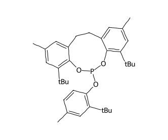 Cc1ccc(OP2Oc3c(cc(C)cc3C(C)(C)C)CCc3cc(C)cc(C(C)(C)C)c3O2)c(C(C)(C)C)c1